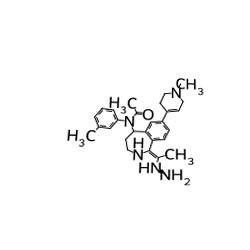 CC(=O)N(c1cccc(C)c1)C1CCN/C(=C(/C)NN)c2ccc(C3=CCN(C)CC3)cc21